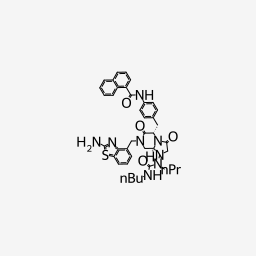 CCCCNC(=O)N(CCC)N1CC(=O)N2[C@@H](Cc3ccc(NC(=O)c4cccc5ccccc45)cc3)C(=O)N(Cc3cccc4sc(N)nc34)C[C@@H]21